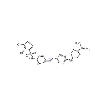 CN(C)C1CCC(Nc2ncc(/C=C/c3ccc(NS(=O)(=O)c4cccc(Cl)c4Cl)nc3)cn2)CC1